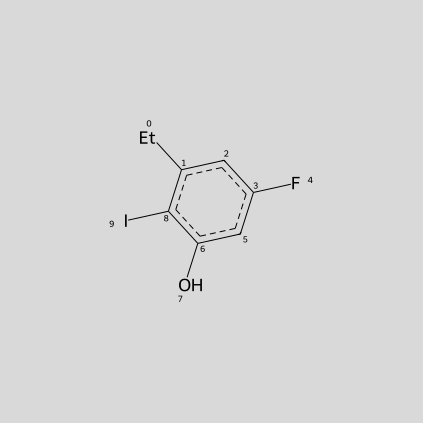 CCc1cc(F)cc(O)c1I